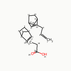 C1=CC2CCC1C2.C=CCC1=CC2CCC1C2.CCC(=O)O